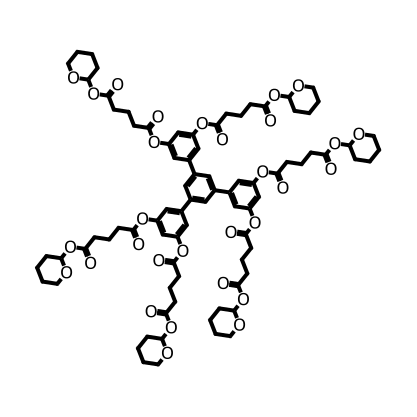 O=C(CCCC(=O)OC1CCCCO1)Oc1cc(OC(=O)CCCC(=O)OC2CCCCO2)cc(-c2cc(-c3cc(OC(=O)CCCC(=O)OC4CCCCO4)cc(OC(=O)CCCC(=O)OC4CCCCO4)c3)cc(-c3cc(OC(=O)CCCC(=O)OC4CCCCO4)cc(OC(=O)CCCC(=O)OC4CCCCO4)c3)c2)c1